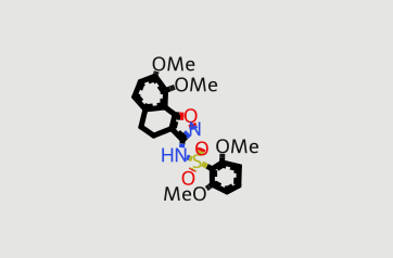 COc1ccc2c(c1OC)-c1onc(NS(=O)(=O)c3c(OC)cccc3OC)c1CC2